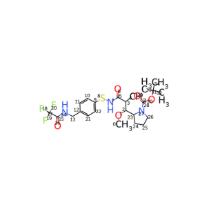 COC(C(C)C(=O)NSc1ccc(CNC(=O)C(F)(F)F)cc1)C1CCCN1C(=O)OC(C)(C)C